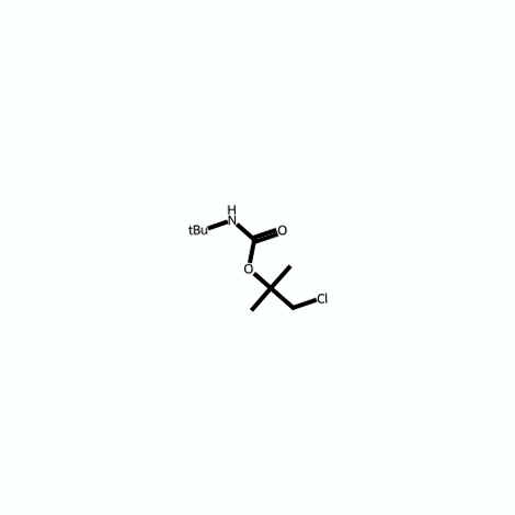 CC(C)(C)NC(=O)OC(C)(C)CCl